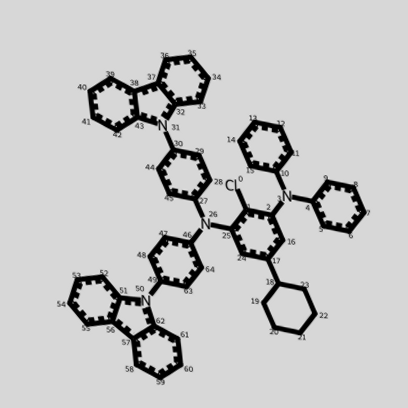 Clc1c(N(c2ccccc2)c2ccccc2)cc(C2CCCCC2)cc1N(c1ccc(-n2c3ccccc3c3ccccc32)cc1)c1ccc(-n2c3ccccc3c3ccccc32)cc1